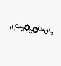 C=CCOc1ccc(Oc2cccc(OCC=C)c2)cc1